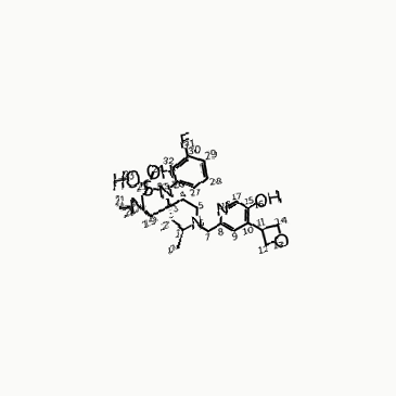 C[C@H]1C[C@]2(CCN1Cc1cc(C3COC3)c(O)cn1)CN(C)S(O)(O)N2c1cccc(F)c1